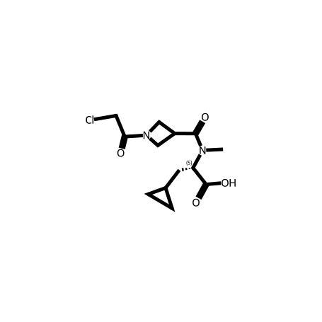 CN(C(=O)C1CN(C(=O)CCl)C1)[C@@H](CC1CC1)C(=O)O